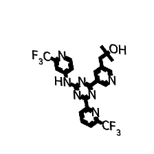 CC(C)(O)Cc1cncc(-c2nc(Nc3ccnc(C(F)(F)F)c3)nc(-c3cccc(C(F)(F)F)n3)n2)c1